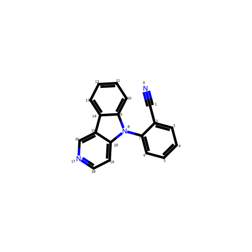 N#Cc1ccccc1-n1c2ccccc2c2cnccc21